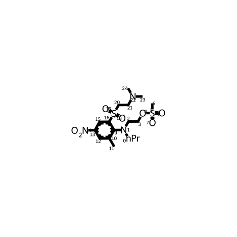 CCCN(CCOS(C)(=O)=O)c1c(C)cc([N+](=O)[O-])cc1S(=O)(=O)CCN(C)C